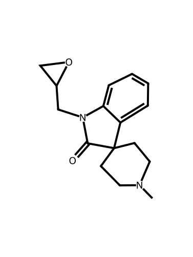 CN1CCC2(CC1)C(=O)N(CC1CO1)c1ccccc12